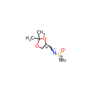 CC1(C)OC[C@H](/C=N/[S@+]([O-])C(C)(C)C)O1